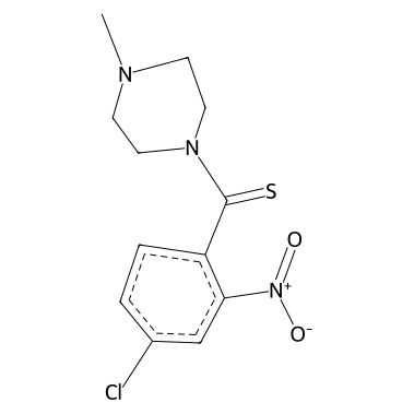 CN1CCN(C(=S)c2ccc(Cl)cc2[N+](=O)[O-])CC1